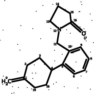 C=C1CCC(c2ccccc2CN2CCCC2=O)CC1